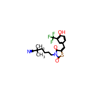 CC(C)(C#N)CCCCN1C(=O)SC(=Cc2ccc(O)c(C(F)(F)F)c2)C1=O